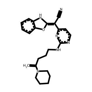 C=C(CCCNc1nccc(/C(C#N)=C2/Nc3ccccc3O2)n1)N1CCCCC1